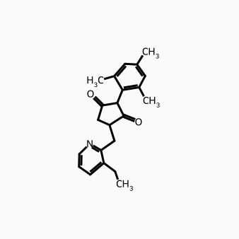 CCc1cccnc1CC1CC(=O)C(c2c(C)cc(C)cc2C)C1=O